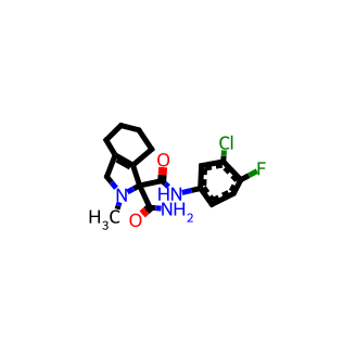 CN1CC2=C(CCCC2)C1(C(N)=O)C(=O)Nc1ccc(F)c(Cl)c1